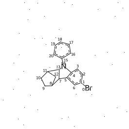 Brc1ccc2c(c1)C1C3CCC(C3)C1N2c1ccccc1